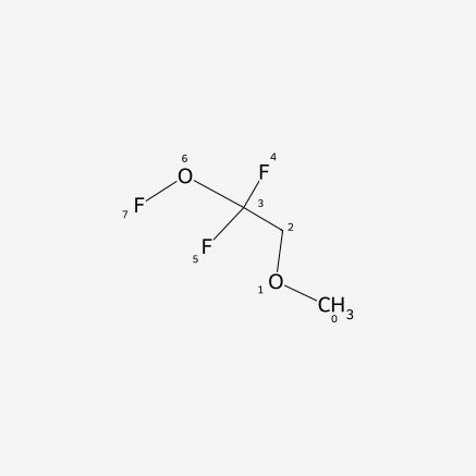 COCC(F)(F)OF